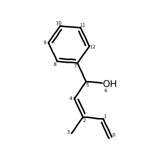 C=CC(C)=CC(O)c1ccccc1